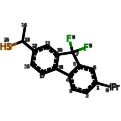 CC(C)c1ccc2c(c1)C(F)(F)c1cc(C(C)S)ccc1-2